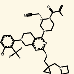 C=C(F)C(=O)N1CCN(c2nc(OCC3(CN4CCC4)CC3)nc3c2CCN(c2cccc(Cl)c2C(F)(F)F)C3)C[C@@H]1CC#N